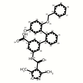 Cc1noc(C)c1C(=O)Nc1cc(C(=O)O)cc(-c2ccccc2-c2cc(Cl)ccc2OCc2ccccc2)c1